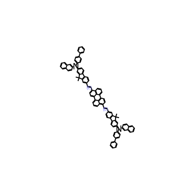 CC1(C)c2cc(/C=C/c3ccc4c5cccc6c(/C=C/c7ccc8c(c7)C(C)(C)c7cc(N(c9ccc(-c%10ccccc%10)cc9)c9ccc%10ccccc%10c9)ccc7-8)ccc(c7cccc3c74)c65)ccc2-c2ccc(N(c3ccc(-c4ccccc4)cc3)c3ccc4ccccc4c3)cc21